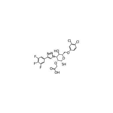 O=C(O)CO[C@@H]1[C@@H](n2cc(-c3cc(F)c(F)c(F)c3)nn2)[C@@H](O)[C@@H](COc2ccc(Cl)c(Cl)c2)O[C@@H]1S